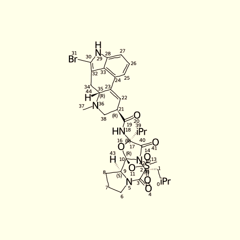 CC(C)C[C@@H]1C(=O)N2CCC[C@H]2[C@]2(OS(C)(=O)=O)O[C@](NC(=O)[C@@H]3C=C4c5cccc6[nH]c(Br)c(c56)C[C@H]4N(C)C3)(C(C)C)C(=O)N12